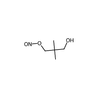 CC(C)(CO)CON=O